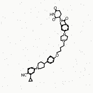 N#Cc1ccc(N2CCC(c3ccc(OCCCCN4CCN(c5ccc6c(c5)CN(C5CCC(=O)NC5=O)C6=O)CC4)cc3)CC2)cc1C1CC1